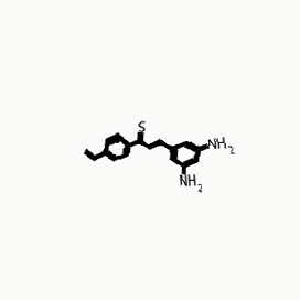 CCc1ccc(C(=S)C=Cc2cc(N)cc(N)c2)cc1